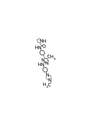 CCN1CCN(c2ccc(Nc3ncc(C)c(-c4ccc(NC(=O)C5CCCN5)cc4)n3)cc2)CC1